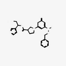 O=CN(NCc1ccccc1)C1=CC(=O)CC(N2CCC(C(=O)NC(CC(=O)O)c3ccsc3)C2)=C1